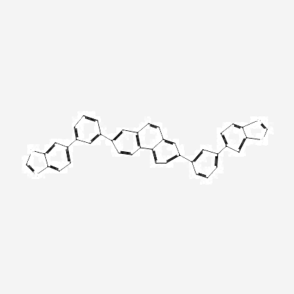 c1cc(-c2ccc3c(ccc4cc(-c5cccc(-c6ccc7ncsc7c6)c5)ccc43)c2)cc(-c2ccc3ncsc3c2)c1